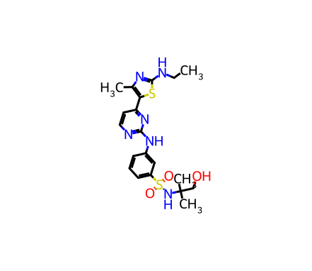 CCNc1nc(C)c(-c2ccnc(Nc3cccc(S(=O)(=O)NC(C)(C)CO)c3)n2)s1